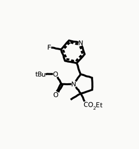 CCOC(=O)C1(C)CCC(c2cncc(F)c2)N1C(=O)OC(C)(C)C